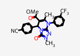 COC(=O)C1=C(C)N(c2cccc(C(F)(F)F)c2)c2nn(C)c(=O)n2C1c1ccc(C#N)cc1